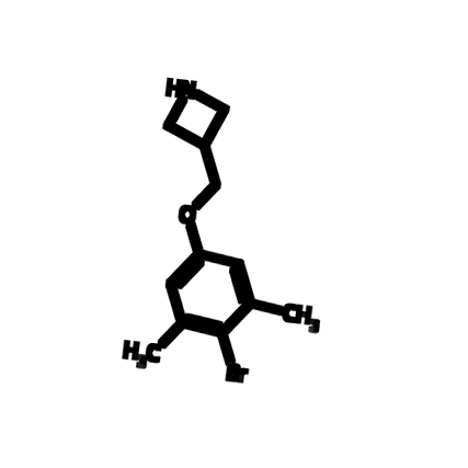 Cc1cc(OCC2CNC2)cc(C)c1Br